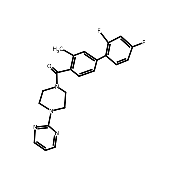 Cc1cc(-c2ccc(F)cc2F)ccc1C(=O)N1CCN(c2ncccn2)CC1